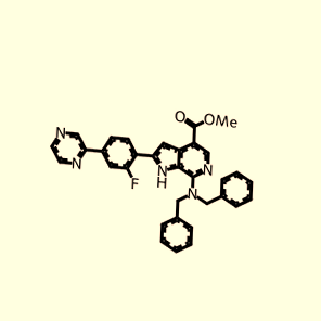 COC(=O)c1cnc(N(Cc2ccccc2)Cc2ccccc2)c2[nH]c(-c3ccc(-c4cnccn4)cc3F)cc12